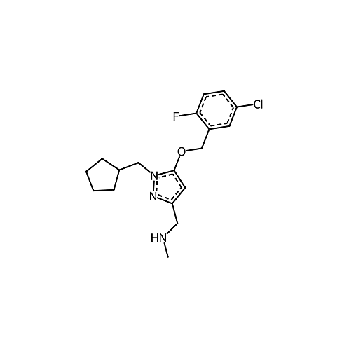 CNCc1cc(OCc2cc(Cl)ccc2F)n(CC2CCCC2)n1